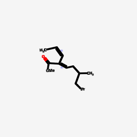 C/C=C\C(=C/CC(C)CC(C)C)C(=O)OC